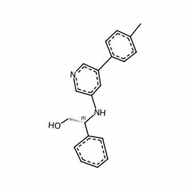 Cc1ccc(-c2cncc(N[C@@H](CO)c3ccccc3)c2)cc1